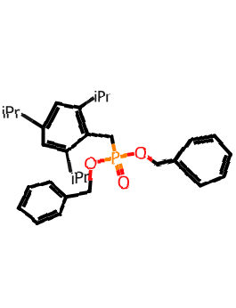 CC(C)c1cc(C(C)C)c(CP(=O)(OCc2ccccc2)OCc2ccccc2)c(C(C)C)c1